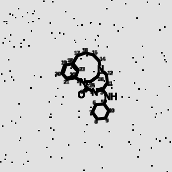 O=C1/N=C(/NC2CCCCC2)CCN2CCCCc3cccc(c3)N1CC2